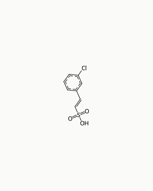 O=S(=O)(O)C=Cc1cccc(Cl)c1